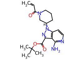 C=CC(=O)N1CCC[C@@H](n2nc(C(=O)OC(C)(C)C)c3c(N)nccc32)C1